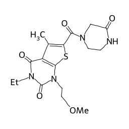 CCn1c(=O)c2c(C)c(C(=O)N3CCNC(=O)C3)sc2n(CCOC)c1=O